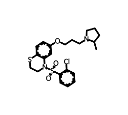 CC1CCCN1CCCOc1ccc2c(c1)N(S(=O)(=O)c1ccccc1Cl)CCS2